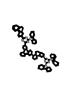 c1ccc2c(c1)ccc1cc(-c3nc(-c4ccc5c6ccccc6c6cc(-c7cccc8c7ccc7ccc(-c9nc(-n%10c%11ccccc%11c%11ccccc%11%10)nc(-n%10c%11ccccc%11c%11ccccc%11%10)n9)cc78)ccc6c5c4)nc(-n4c5ccccc5c5ccccc54)n3)ccc12